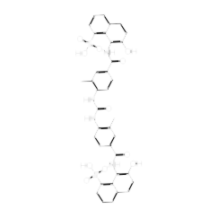 Cc1cc(C(=O)Nc2c(O)ccc3cccc(S(=O)(=O)O)c23)ccc1NC(=O)Nc1ccc(C(=O)Nc2c(O)ccc3cccc(S(=O)(=O)O)c23)cc1C